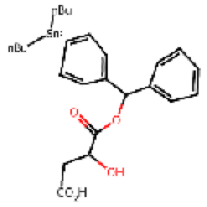 CCC[CH2][Sn][CH2]CCC.O=C(O)CC(O)C(=O)OC(c1ccccc1)c1ccccc1